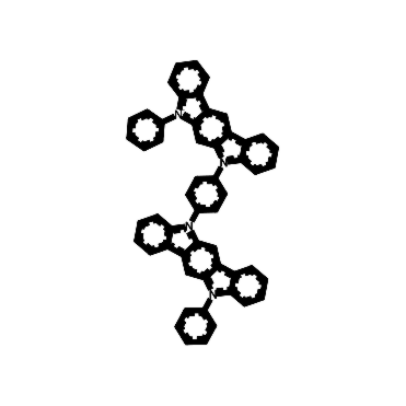 c1ccc(-n2c3ccccc3c3cc4c(cc32)c2ccccc2n4-c2ccc(-n3c4ccccc4c4cc5c6ccccc6n(-c6ccccc6)c5cc43)cc2)cc1